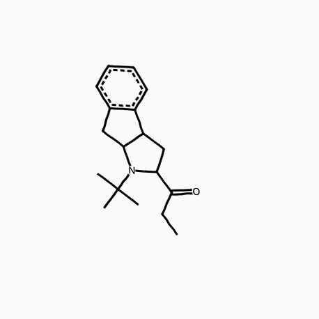 CCC(=O)C1CC2c3ccccc3CC2N1C(C)(C)C